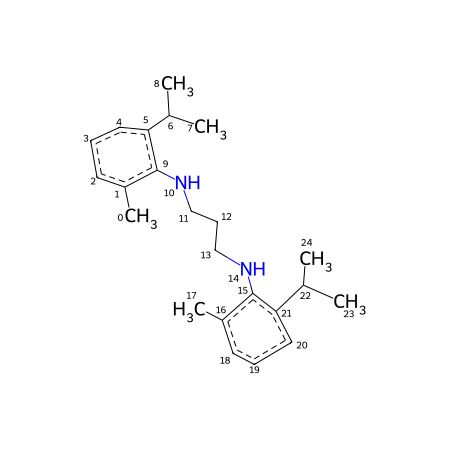 Cc1cccc(C(C)C)c1NCCCNc1c(C)cccc1C(C)C